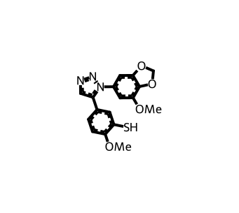 COc1ccc(-c2cnnn2-c2cc(OC)c3c(c2)OCO3)cc1S